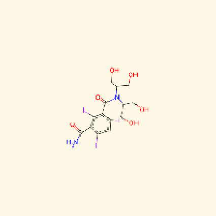 NC(=O)c1c(I)cc(I)c(C(=O)N(C(CO)CO)C(CO)CO)c1I